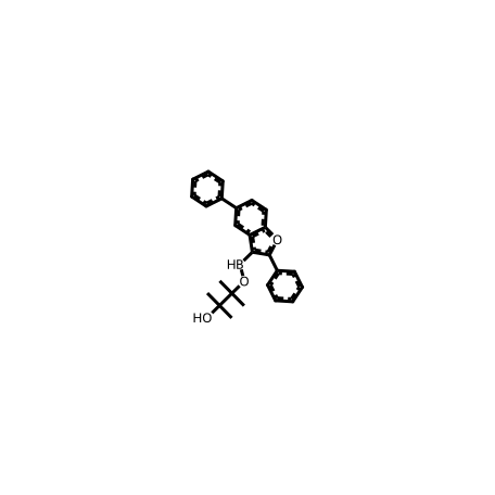 CC(C)(O)C(C)(C)OBc1c(-c2ccccc2)oc2ccc(-c3ccccc3)cc12